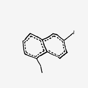 Cc1cccc2cc(I)ccc12